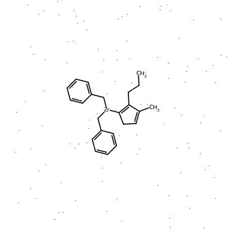 CCCC1=[C]([Zr]([CH2]c2ccccc2)[CH2]c2ccccc2)CC=C1C